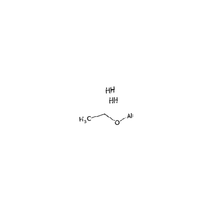 CC[O][Al].[HH].[HH]